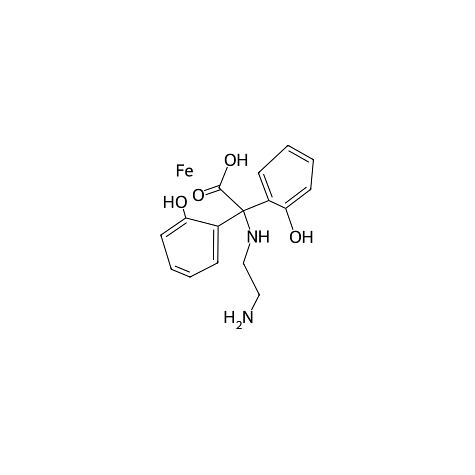 NCCNC(C(=O)O)(c1ccccc1O)c1ccccc1O.[Fe]